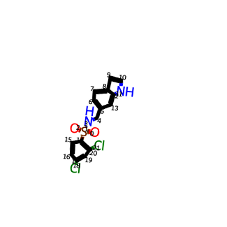 O=S(=O)(NCc1ccc2cc[nH]c2c1)c1ccc(Cl)cc1Cl